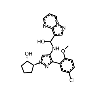 COc1ccc(Cl)cc1-c1nn([C@H]2CCC[C@@H]2O)cc1NC(O)c1cnn2cccnc12